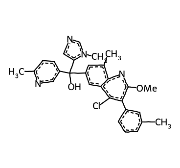 COc1nc2c(C)cc(C(O)(c3ccc(C)nc3)c3cncn3C)cc2c(Cl)c1-c1cccc(C)c1